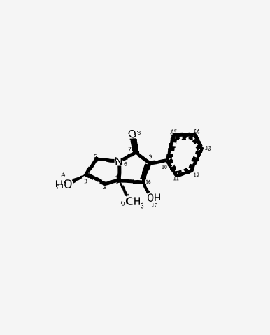 C[C@@]12C[C@@H](O)CN1C(=O)C(c1ccccc1)=C2O